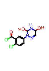 O=C(Cl)c1cc(N2N=CC(O)NC2O)ccc1Cl